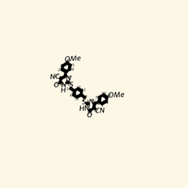 COc1ccc(-c2nc(SCc3ccc(CSc4nc(-c5ccc(OC)cc5)c(C#N)c(=O)[nH]4)cc3)[nH]c(=O)c2C#N)cc1